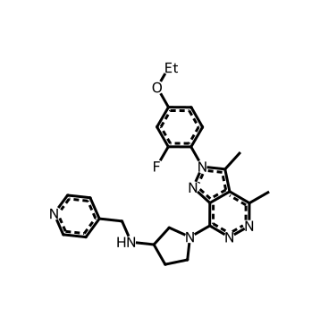 CCOc1ccc(-n2nc3c(N4CCC(NCc5ccncc5)C4)nnc(C)c3c2C)c(F)c1